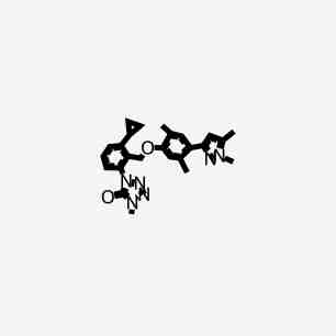 Cc1cc(-c2cc(C)n(C)n2)c(C)cc1OCc1c(C2CC2)cccc1-n1nnn(C)c1=O